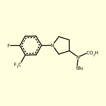 CC(C)(C)N(C(=O)O)C1CCN(c2ccc(F)c(C(F)(F)F)c2)C1